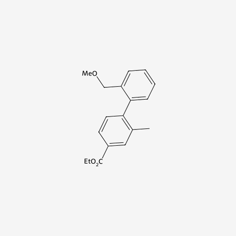 CCOC(=O)c1ccc(-c2ccccc2COC)c(C)c1